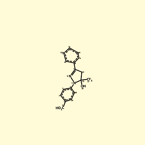 O=C(O)c1ccc(N2N=C(c3cccnc3)CC2(O)C(F)(F)F)cc1